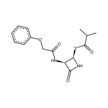 CC(C)C(=O)S[C@H]1NC(=O)[C@H]1NC(=O)COc1ccccc1